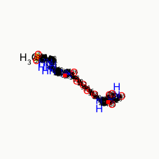 CS(=O)(=O)c1ccc(-c2ccc/c(=N/C(=N)Nc3ccc(N4CCN(C(=O)CCOCCOCCOCCOCCNc5ccc6c(c5)C(=O)N(C5CCC(=O)NC5=O)C6=O)CC4)cc3)[nH]2)cc1